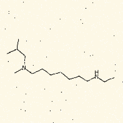 CCNCCCCCCCN(C)CC(C)C